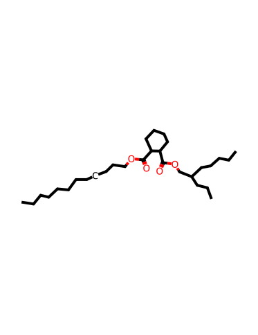 CCCCCCCCCCCCOC(=O)C1CCCCC1C(=O)OCC(CCC)CCCCC